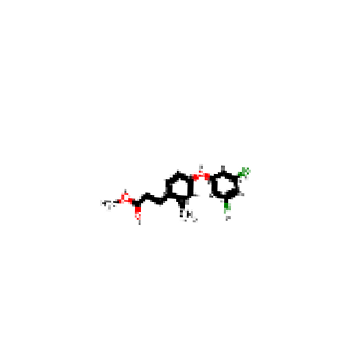 COC(=O)CCc1ccc(Oc2cc(F)cc(Br)c2)cc1C